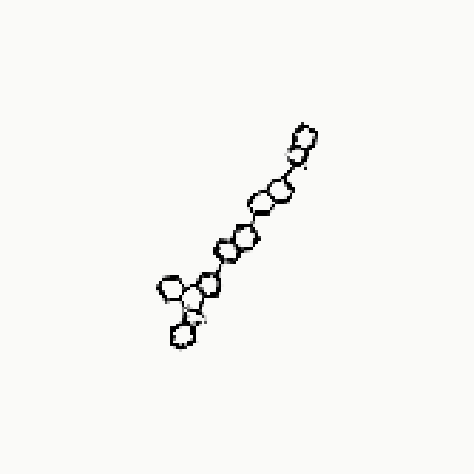 C1=CC2c3cc(-c4ccc5cc(C6=CC7=CC=C(c8nc9ccccc9s8)CC7C=C6)ccc5c4)ccc3-c3nc4ccccc4n3C2C=C1